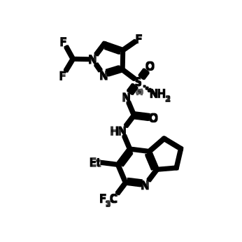 CCc1c(C(F)(F)F)nc2c(c1NC(=O)N=[S@](N)(=O)c1nn(C(F)F)cc1F)CCC2